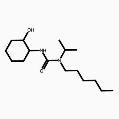 CCCCCCN(C(=O)NC1CCCCC1O)C(C)C